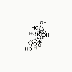 O=P(=O)CN(Cc1cccc(CO)c1O)C(CO)C(CO)N(Cc1cccc(CO)c1O)CP(=O)(O)O